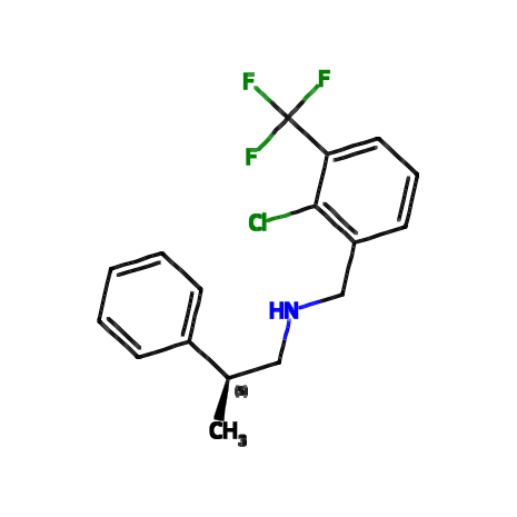 C[C@H](CNCc1cccc(C(F)(F)F)c1Cl)c1ccccc1